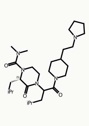 CC(C)CC(C(=O)N1CCC(CCN2CCCC2)CC1)N1CCN(C(=O)N(C)C)[C@@H](CC(C)C)C1=O